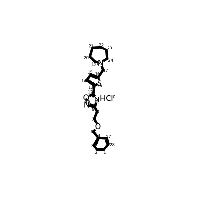 Cl.c1ccc(COCCc2noc(-c3ccc(CN4CCCCCC4)s3)n2)cc1